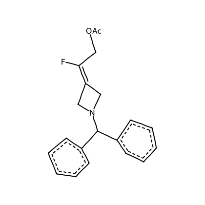 CC(=O)OCC(F)=C1CN(C(c2ccccc2)c2ccccc2)C1